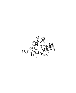 Cc1cc(N(C)CCN(C)C)c(C=CC(N)=O)cc1Nc1nccc(-n2c(=O)n(C(C)C)c3ccccc32)n1